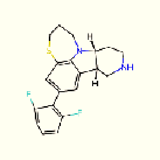 Fc1cccc(F)c1-c1cc2c3c(c1)[C@H]1CNCC[C@H]1N3CCCS2